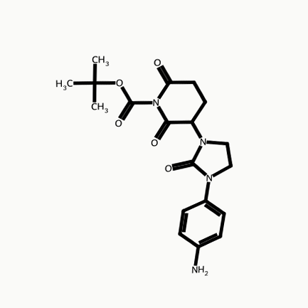 CC(C)(C)OC(=O)N1C(=O)CCC(N2CCN(c3ccc(N)cc3)C2=O)C1=O